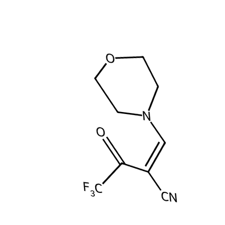 N#CC(=CN1CCOCC1)C(=O)C(F)(F)F